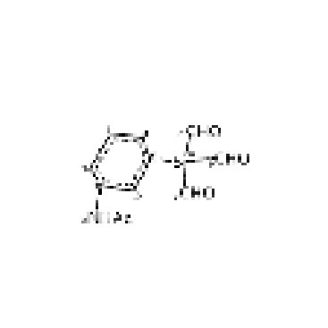 CC(=O)Nc1cccc([Si](C=O)(C=O)C=O)c1